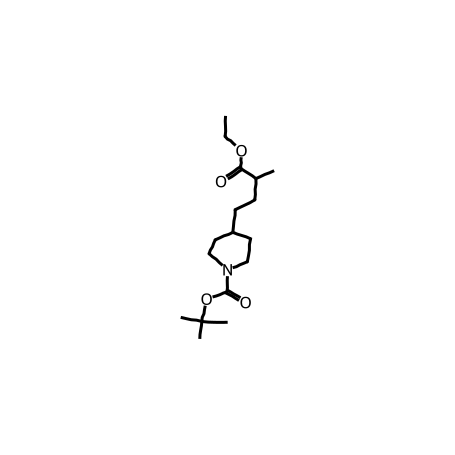 CCOC(=O)C(C)CCC1CCN(C(=O)OC(C)(C)C)CC1